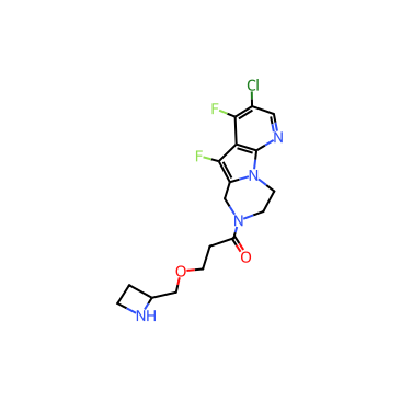 O=C(CCOCC1CCN1)N1CCn2c(c(F)c3c(F)c(Cl)cnc32)C1